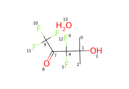 CC(C)(O)C(F)(F)C(=O)C(F)(F)F.O